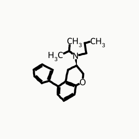 CCCN(C(C)C)[C@H]1COc2cccc(-c3ccccc3)c2C1